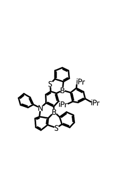 CC(C)c1cc(C(C)C)c(B2c3ccccc3Sc3cc4c(cc32)B2c3ccccc3Sc3cccc(c32)N4c2ccccc2)c(C(C)C)c1